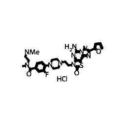 CNCCN(C)C(=O)c1ccc(N2CCN(CCn3c(=O)sc4c3nc(N)n3nc(-c5ccco5)nc43)CC2)c(F)c1.Cl